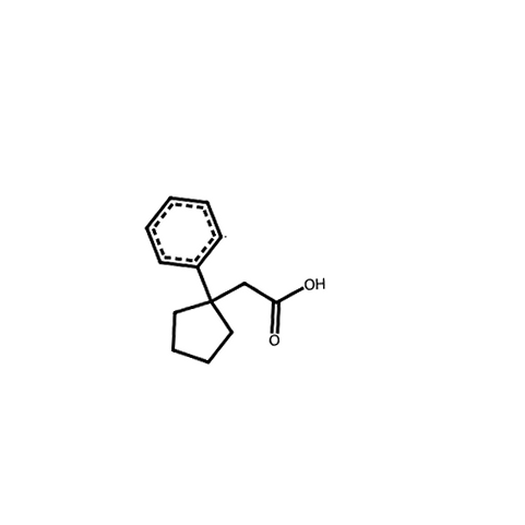 O=C(O)CC1(c2[c]cccc2)CCCC1